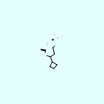 CC(C)(C)OC(=O)NC(CCOS(C)(=O)=O)C1CCC1